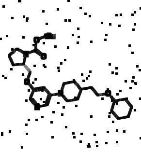 CC(C)(C)OC(=O)N1CCC[C@H]1COc1cncc(N2CCC(CCOC3CCCCC3)CC2)c1